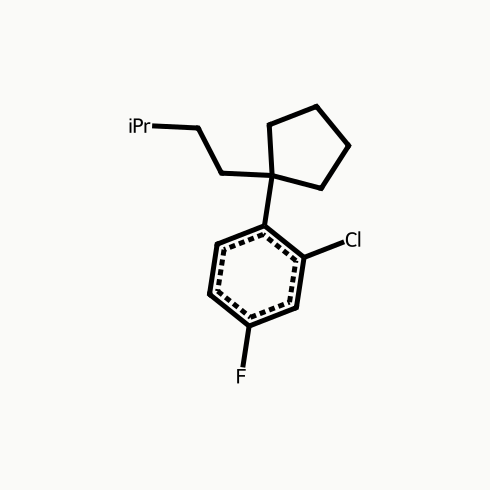 CC(C)CCC1(c2ccc(F)cc2Cl)CCCC1